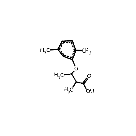 Cc1ccc(C)c(OC(C)C(C)C(=O)O)c1